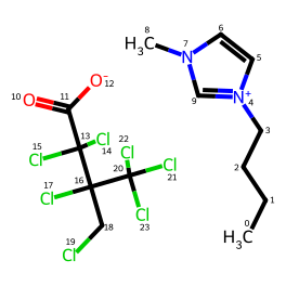 CCCC[n+]1ccn(C)c1.O=C([O-])C(Cl)(Cl)C(Cl)(CCl)C(Cl)(Cl)Cl